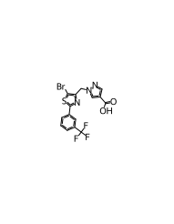 O=C(O)c1cnn(Cc2nc(-c3cccc(C(F)(F)F)c3)sc2Br)c1